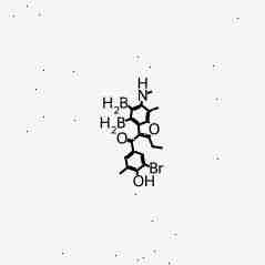 Bc1c(NC)c(C)c2oc(CC)c(C(=O)c3cc(C)c(O)c(Br)c3)c2c1B